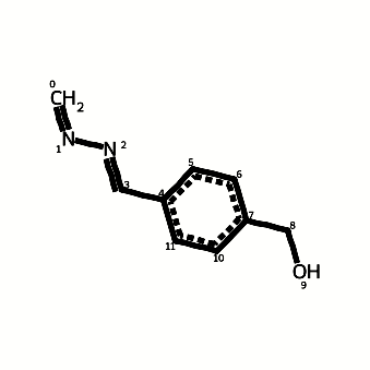 C=N/N=C/c1ccc(CO)cc1